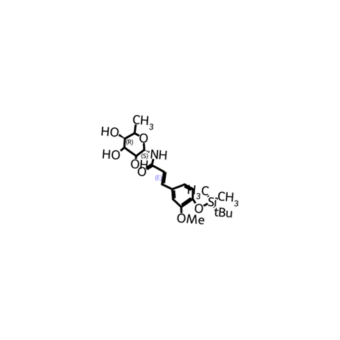 COc1cc(/C=C/C(=O)N[C@H]2OC(C)[C@H](O)C(O)C2O)ccc1O[Si](C)(C)C(C)(C)C